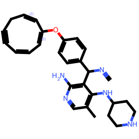 C=NC(c1ccc(OC2=C/C=CC#CC/C=C\2)cc1)c1c(N)ncc(C)c1NC1CCNCC1